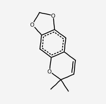 CC1(C)C=Cc2cc3c(cc2O1)OCO3